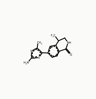 Cc1nc(N)sc1-c1ccc2c(c1)C(C(F)(F)F)CNC2=O